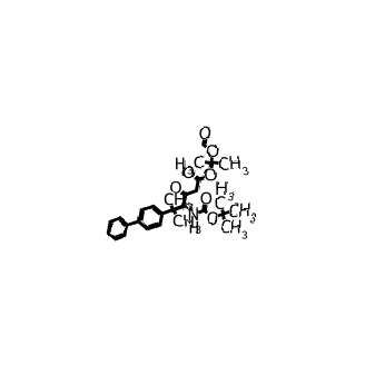 CC(C)(C)OC(=O)N[C@@H](C(=O)CC(=O)OC(C)(C)OC=O)C(C)(C)c1ccc(-c2ccccc2)cc1